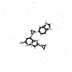 Clc1cc([C@H]2C[C@@H]2c2ccc3scnc3c2)c2nc(C3CC3)cn2n1